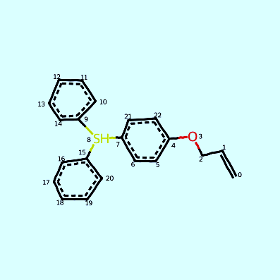 C=CCOc1ccc([SH](c2ccccc2)c2ccccc2)cc1